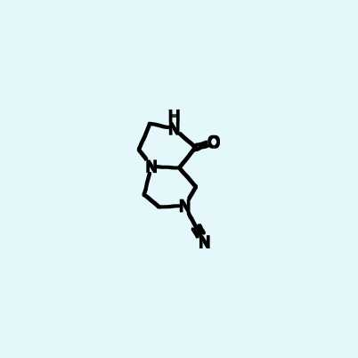 N#CN1CCN2CCNC(=O)C2C1